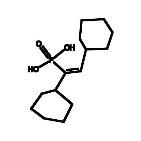 O=P(O)(O)C(=CC1CCCCC1)C1CCCCC1